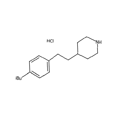 CCC(C)c1ccc(CCC2CCNCC2)cc1.Cl